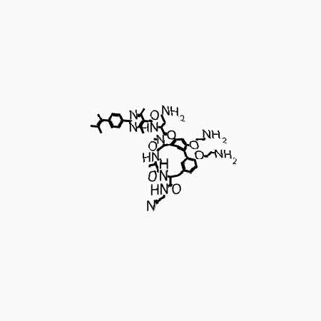 CC(C)=C(C)c1ccc(-c2nc(C)c(C(=O)NC(CCN)C(=O)N(C)C3C(=O)NC(C)C(=O)NC(C(=O)NCC#N)Cc4ccc(OCCN)c(c4)-c4cc3ccc4OCCN)c(C)n2)cc1